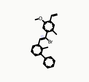 C=Cc1cc(C)c(/C(Br)=C/c2cccc(-c3ccccc3)c2C)cc1OC